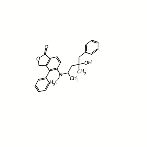 CC(CC(C)(O)Cc1ccccc1)N(C)c1ccc2c(c1-c1ccccc1)COC2=O